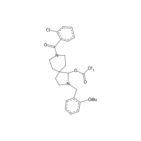 CC(C)COc1ccccc1CN1CCC2(CCN(C(=O)c3ccccc3Cl)CC2)C1OC(=O)C(F)(F)F